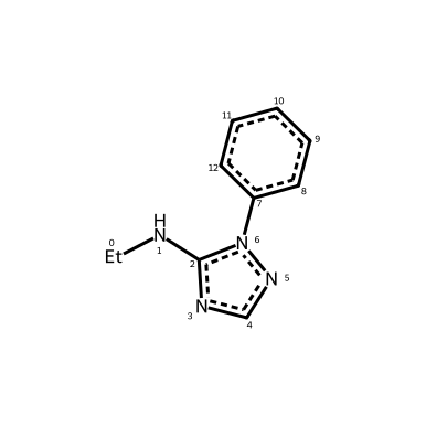 CCNc1ncnn1-c1ccccc1